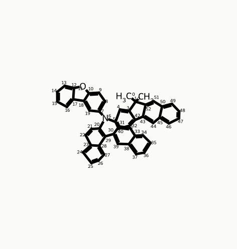 CC1(C)c2cc(N(c3ccc4oc5ccccc5c4c3)c3ccc4ccccc4c3-c3ccc4ccccc4c3)ccc2-c2cc3ccccc3cc21